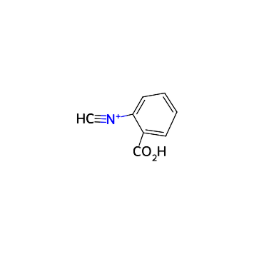 C#[N+]c1ccccc1C(=O)O